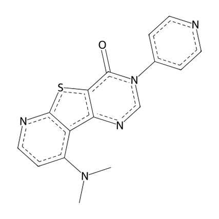 CN(C)c1ccnc2sc3c(=O)n(-c4ccncc4)cnc3c12